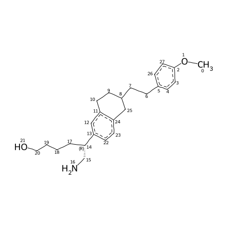 COc1ccc(CCC2CCc3cc([C@H](CN)CCCCO)ccc3C2)cc1